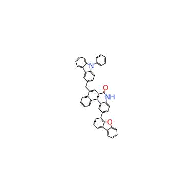 O=c1[nH]c2ccc(-c3cccc4c3oc3ccccc34)cc2c2c1cc(Cc1ccc3c(c1)c1ccccc1n3-c1ccccc1)c1ccccc12